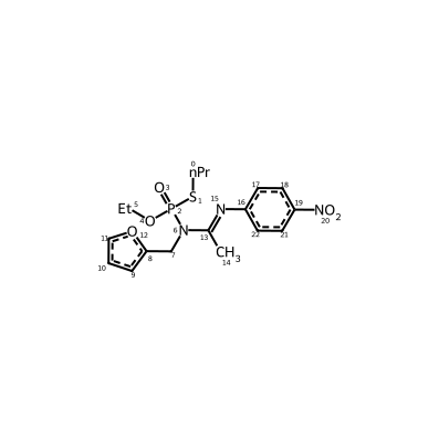 CCCSP(=O)(OCC)N(Cc1ccco1)C(C)=Nc1ccc([N+](=O)[O-])cc1